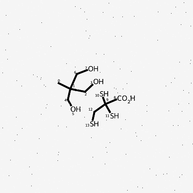 CC(CO)(CO)CO.O=C(O)C(S)(S)CS